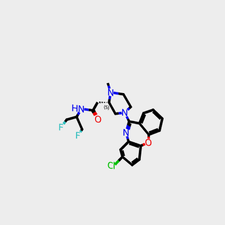 CN1CCN(C2=Nc3cc(Cl)ccc3Oc3ccccc32)C[C@@H]1CC(=O)NC(CF)CF